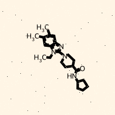 CCn1c(N2CCC(C(=O)NC3CCCC3)CC2)nc2cc(C)c(C)cc21